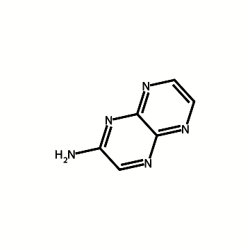 Nc1cnc2nccnc2n1